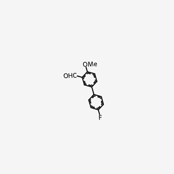 COc1ccc(-c2ccc(F)cc2)cc1C=O